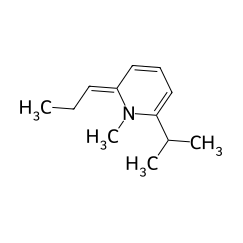 CC/C=C1/C=CC=C(C(C)C)N1C